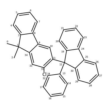 CC1(C)c2ccccc2-c2cc(C3(c4ccccc4)c4ccccc4-c4ccccc43)c(Cl)cc21